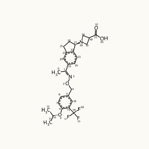 C/C(=N\OCc1ccc(OC(C)C)c(C(F)(F)F)c1)c1ccc2c(c1)CC[C@H]2N1CC(C(=O)O)C1